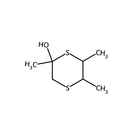 CC1SCC(C)(O)SC1C